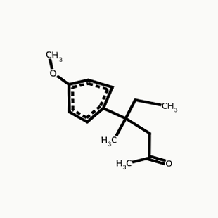 CCC(C)(CC(C)=O)c1ccc(OC)cc1